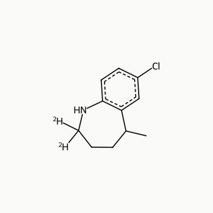 [2H]C1([2H])CCC(C)c2cc(Cl)ccc2N1